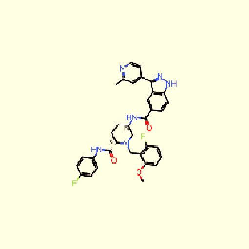 COc1cccc(F)c1CN1C[C@H](NC(=O)c2ccc3[nH]nc(-c4ccnc(C)c4)c3c2)CC[C@H]1C(=O)Nc1ccc(F)cc1